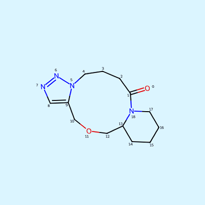 O=C1CCCn2nncc2COCC2CCCCN12